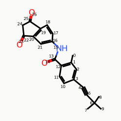 Cc1cc(C#CC(C)(C)C)ccc1C(=O)Nc1ccc2c(c1)C(=O)CC2=O